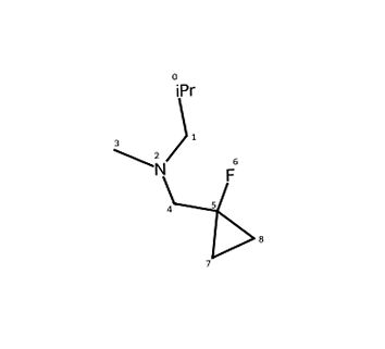 CC(C)CN(C)CC1(F)CC1